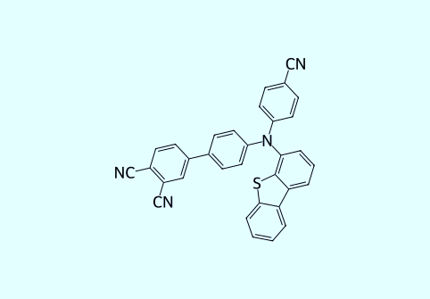 N#Cc1ccc(N(c2ccc(-c3ccc(C#N)c(C#N)c3)cc2)c2cccc3c2sc2ccccc23)cc1